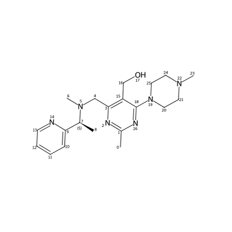 Cc1nc(CN(C)[C@@H](C)c2ccccn2)c(CO)c(N2CCN(C)CC2)n1